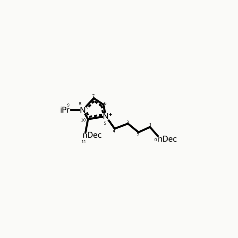 CCCCCCCCCCCCCC[n+]1ccn(C(C)C)c1CCCCCCCCCC